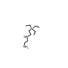 CC[N+](CC)(CC)CCNCCN